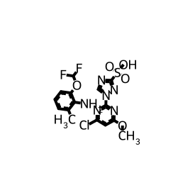 COc1cc(Cl)nc(-n2cnc(S(=O)(=O)O)n2)n1.Cc1cccc(OC(F)F)c1N